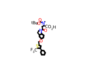 CN(C(=O)OC(C)(C)C)C(CC(=O)N1CCc2cc(OCc3cc(-c4ccccc4)c(C(F)(F)F)s3)ccc21)C(=O)O